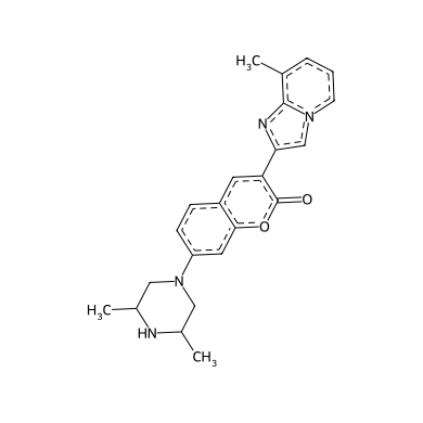 Cc1cccn2cc(-c3cc4ccc(N5CC(C)NC(C)C5)cc4oc3=O)nc12